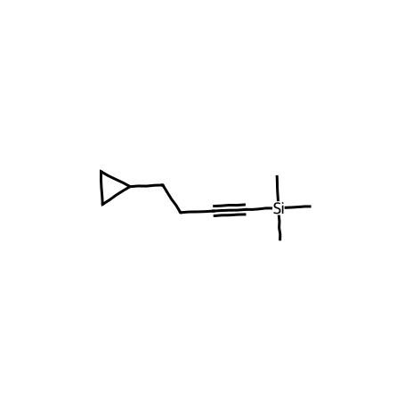 C[Si](C)(C)C#CCCC1CC1